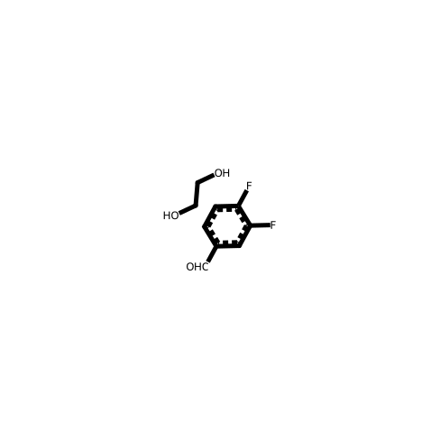 O=Cc1ccc(F)c(F)c1.OCCO